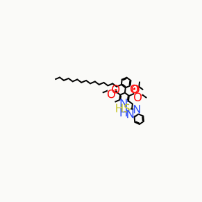 CCCCCCCCCCCCCCCc1cccc(OC(C)C)c1C1C(C(=O)OCC)=C(C)NC(CC2(S)N=c3ccccc3=N2)=C1C(=O)OCC